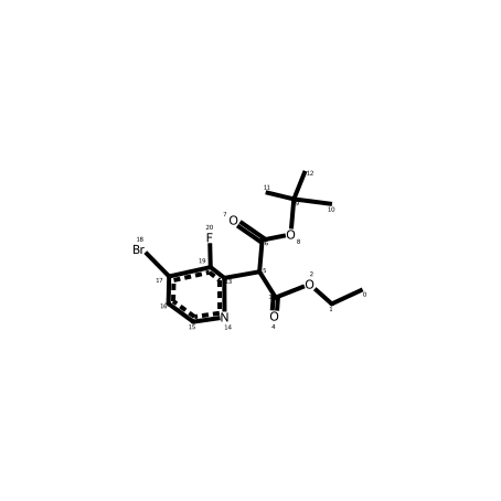 CCOC(=O)C(C(=O)OC(C)(C)C)c1nccc(Br)c1F